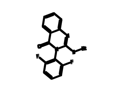 CCSc1nc2ccccc2c(=O)n1-c1c(F)cccc1F